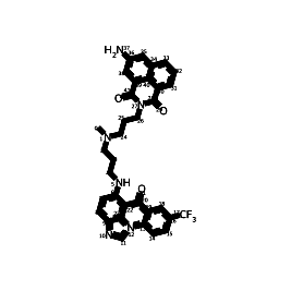 CN(CCCNc1ccc2ncn3c4ccc(C(F)(F)F)cc4c(=O)c1c23)CCCN1C(=O)c2cccc3cc(N)cc(c23)C1=O